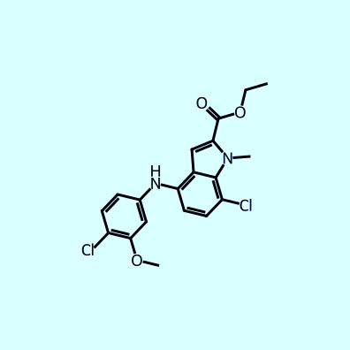 CCOC(=O)c1cc2c(Nc3ccc(Cl)c(OC)c3)ccc(Cl)c2n1C